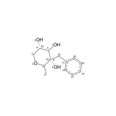 CC1OC[C@H](O)C(O)[C@@]1(O)Cc1ccccc1